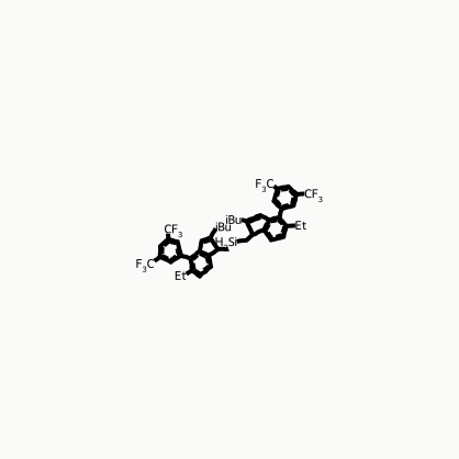 CCc1ccc2c(c1-c1cc(C(F)(F)F)cc(C(F)(F)F)c1)C=C(C(C)CC)C2C[SiH2]CC1C(C(C)CC)=Cc2c1ccc(CC)c2-c1cc(C(F)(F)F)cc(C(F)(F)F)c1